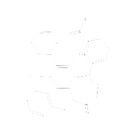 COc1cc2c(c(OC)c1-c1ccccc1)C(c1cccc(C(N)=O)c1)=NCC(=O)N2Cc1ccccc1